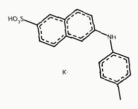 Cc1ccc(Nc2ccc3cc(S(=O)(=O)O)ccc3c2)cc1.[K]